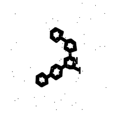 Ic1cc(-c2ccc(-c3ccccc3)cc2)cc(-c2cccc(-c3ccccc3)c2)n1